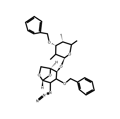 CC1O[C@@H](O[C@H]2C(OCc3ccccc3)C(N=[N+]=[N-])[C@@H]3OC[C@@H]2O3)C(C)[C@H](OCc2ccccc2)[C@@H]1C